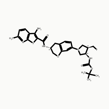 Cc1ccc2c(N)c(C(=O)N[C@H]3COc4cc(N5C[C@@H](CF)[C@@H](NC(=O)OC(C)(C)C)C5)ccc4C3)sc2n1